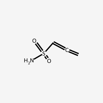 C=C=CS(N)(=O)=O